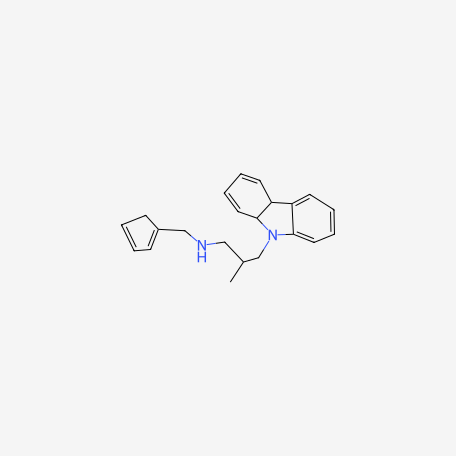 CC(CNCC1=CC=CC1)CN1c2ccccc2C2C=CC=CC21